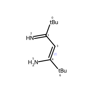 CC(C)(C)C(=N)/C=C(\N)C(C)(C)C